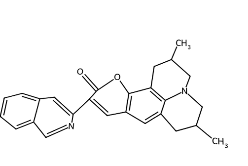 CC1Cc2cc3cc(-c4cc5ccccc5cn4)c(=O)oc3c3c2N(C1)CC(C)C3